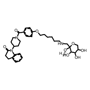 COC1(CNCCCCCCOc2ccc(C(=O)N3CCC(N4C(=O)CCc5ccccc54)CC3)cc2)OCC(O)C(O)C1O